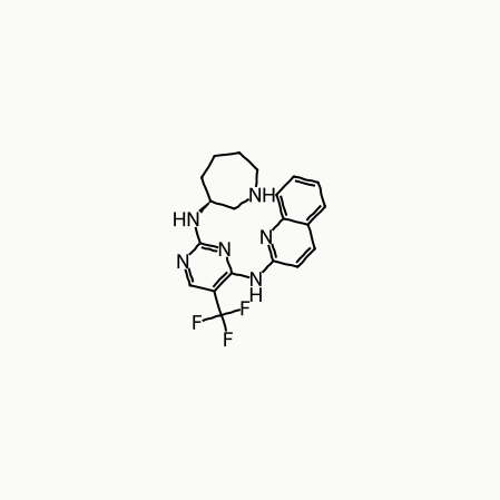 FC(F)(F)c1cnc(N[C@H]2CCCCNC2)nc1Nc1ccc2ccccc2n1